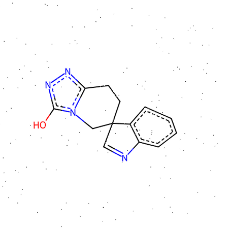 Oc1nnc2n1CC1(C=Nc3ccccc31)CC2